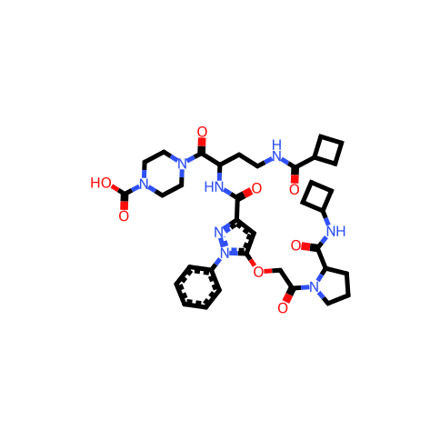 O=C(NC(CCNC(=O)C1CCC1)C(=O)N1CCN(C(=O)O)CC1)c1cc(OCC(=O)N2CCCC2C(=O)NC2CCC2)n(-c2ccccc2)n1